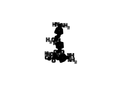 CCOC(=O)C(Cc1ccc(C(=N)N)cc1)(NCC(=O)c1ccc2c(c1)=NC(C)(CCc1ccc(C(=N)N)cc1)N=2)C(=O)O